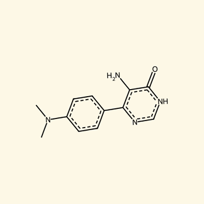 CN(C)c1ccc(-c2nc[nH]c(=O)c2N)cc1